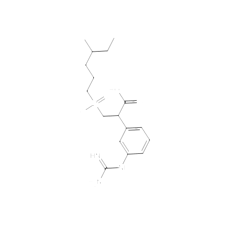 CCC(C)CCCP(=O)(O)CC(C(=O)O)c1cccc(NC(=N)N)c1